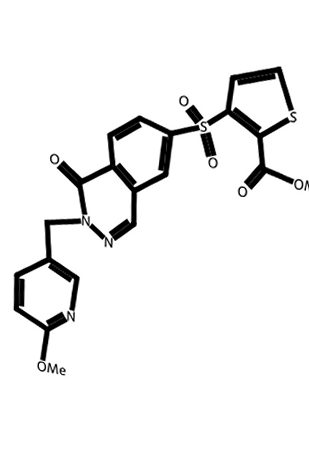 COC(=O)c1sccc1S(=O)(=O)c1ccc2c(=O)n(Cc3ccc(OC)nc3)ncc2c1